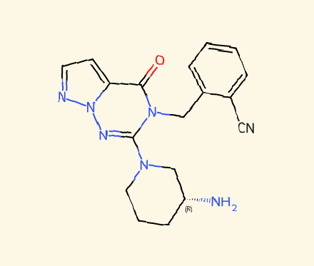 N#Cc1ccccc1Cn1c(N2CCC[C@@H](N)C2)nn2nccc2c1=O